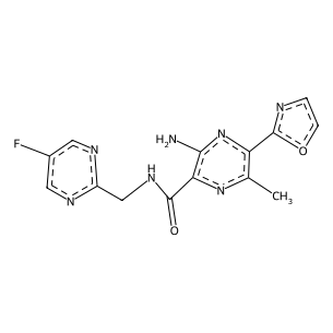 Cc1nc(C(=O)NCc2ncc(F)cn2)c(N)nc1-c1ncco1